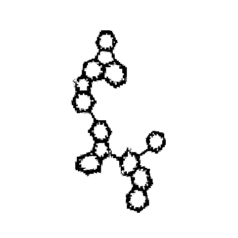 c1ccc(-c2nc(-n3c4ccccc4c4cc(-c5ccc6sc7cc8c9c(cccc9c7c6c5)-c5ccccc5-8)ccc43)nc3c2ccc2ccccc23)cc1